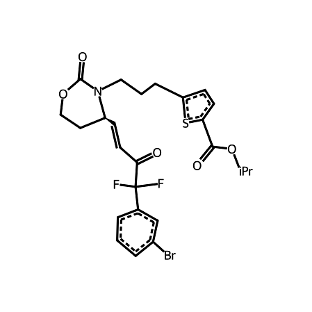 CC(C)OC(=O)c1ccc(CCCN2C(=O)OCC[C@@H]2C=CC(=O)C(F)(F)c2cccc(Br)c2)s1